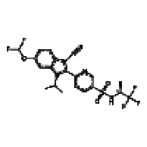 CC(C)n1c(-c2ccc(S(=O)(=O)N[C@@H](C)C(F)(F)F)cn2)c(C#N)c2ccc(OC(F)F)cc21